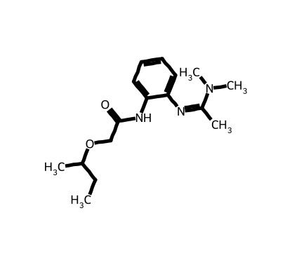 CCC(C)OCC(=O)Nc1ccccc1N=C(C)N(C)C